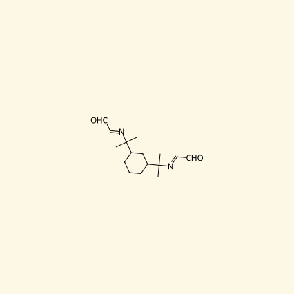 CC(C)(N=CC=O)C1CCCC(C(C)(C)N=CC=O)C1